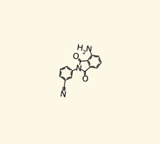 N#Cc1cccc(N2C(=O)c3cccc(N)c3C2=O)c1